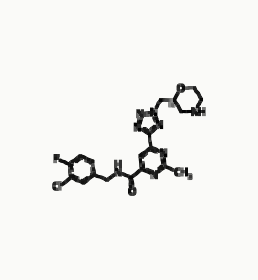 Cc1nc(C(=O)NCc2ccc(F)c(Cl)c2)cc(-c2nnn(C[C@@H]3CNCCO3)n2)n1